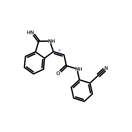 N#Cc1ccccc1NC(=O)/C=C1/NC(=N)c2ccccc21